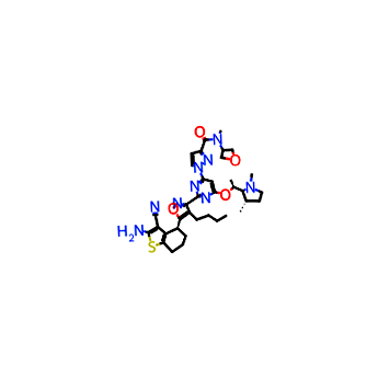 CCCCc1c(-c2nc(O[C@@H](C)[C@@H]3[C@@H](C)CCN3C)cc(-n3ccc(C(=O)N(C)C4COC4)n3)n2)noc1[C@H]1CCCc2sc(N)c(C#N)c21